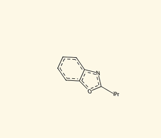 CC(C)c1nc2ccccc2o1